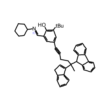 CC(C)(C)c1cc(C#CCCC(C)(C2=CCc3ccccc32)C2c3ccccc3-c3ccccc32)cc(/C=N/C2CCCCC2)c1O